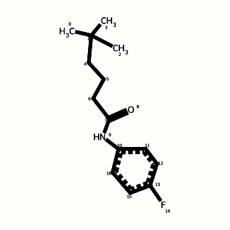 CC(C)(C)CCCC(=O)Nc1ccc(F)cc1